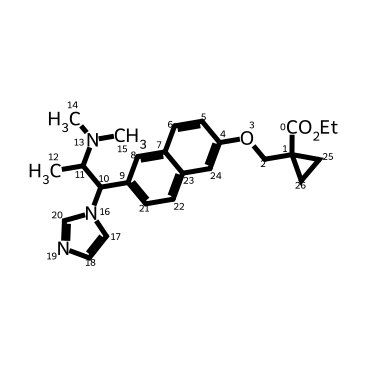 CCOC(=O)C1(COc2ccc3cc(C(C(C)N(C)C)n4ccnc4)ccc3c2)CC1